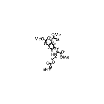 CCCOC(=O)OCCN[C@@H](Cc1ccc(OC(=O)OC)c(OC(=O)OC)c1)C(=O)OC